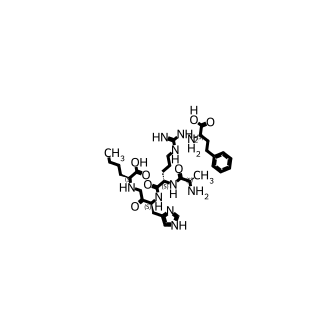 CCCC[C@H](NCC(=O)[C@H](Cc1c[nH]cn1)NC(=O)[C@H](CCCNC(=N)N)NC(=O)[C@H](C)N)C(=O)O.N[C@@H](CCc1ccccc1)C(=O)O